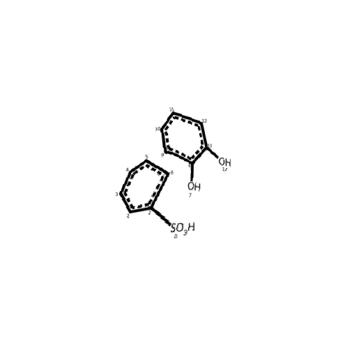 O=S(=O)(O)c1ccccc1.Oc1ccccc1O